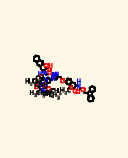 COC(=O)C(Cc1ccc(OCc2cn([C@@H]3CCN(C(=O)C(NC(=O)C(C)N(C)C(=O)OC(C)(C)C)C(C)(C)C)[C@@H]3C(=O)NC(Cc3ccc4ccccc4c3)C(=O)O)nn2)cc1)NC(=O)OCC1c2ccccc2-c2ccccc21